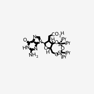 CC(C)[Si]1(C(C)C)OC[C@H]2O[C@@H](n3cnc4c(=O)[nH]c(N)nc43)/C(=C/C(=O)O)[C@@H]2O[Si](C(C)C)(C(C)C)O1